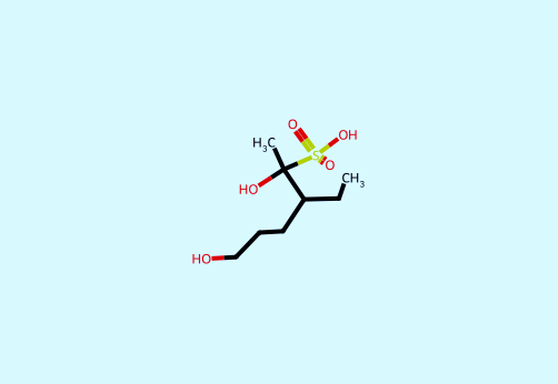 CC[C](CCCO)C(C)(O)S(=O)(=O)O